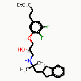 CCOC(=O)CCc1cc(F)c(F)c(OC[C@@H](O)CNC(C)(C)CC2Cc3ccccc3C2)c1